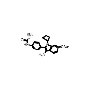 CCCCOC(=O)Nc1ccc(-c2c(N)c3ccc(OC)cc3n2C2CCC2)cc1